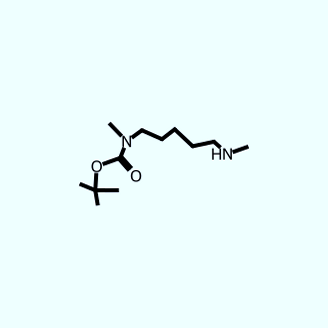 CNCCCCCN(C)C(=O)OC(C)(C)C